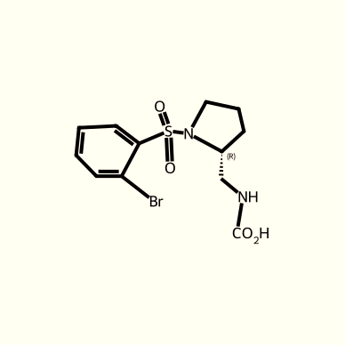 O=C(O)NC[C@H]1CCCN1S(=O)(=O)c1ccccc1Br